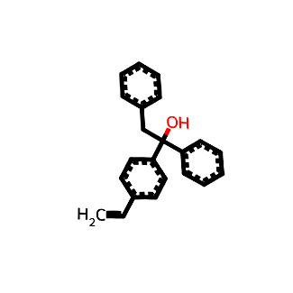 C=Cc1ccc(C(O)(Cc2ccccc2)c2ccccc2)cc1